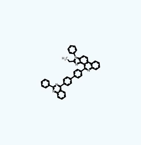 CCc1nc2c3c(-c4ccc(-c5ccc(-c6nc(-c7ccccc7)nc7ccccc67)cc5)cc4)nc4ccccc4c3ccc2n1-c1ccccc1